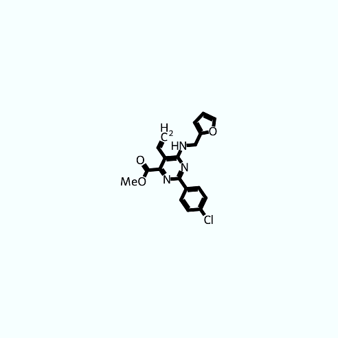 C=Cc1c(NCc2ccco2)nc(-c2ccc(Cl)cc2)nc1C(=O)OC